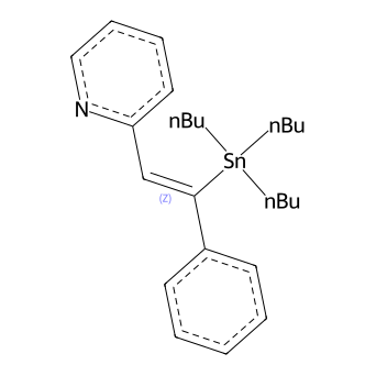 CCC[CH2][Sn]([CH2]CCC)([CH2]CCC)/[C](=C\c1ccccn1)c1ccccc1